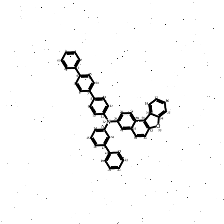 c1ccc(-c2ccc(-c3ccc(N(c4cccc(-c5ccccc5)c4)c4ccc5c(ccc6oc7ccccc7c65)c4)cc3)cc2)cc1